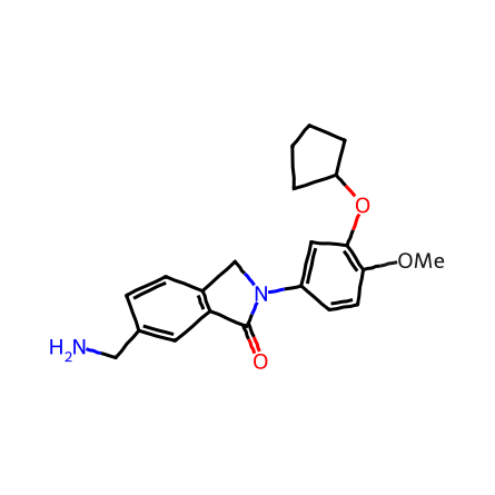 COc1ccc(N2Cc3ccc(CN)cc3C2=O)cc1OC1CCCC1